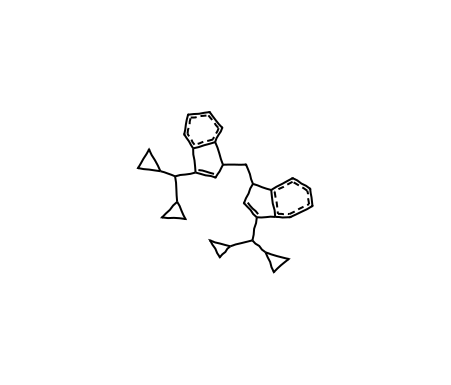 C1=C(C(C2CC2)C2CC2)c2ccccc2C1CC1C=C(C(C2CC2)C2CC2)c2ccccc21